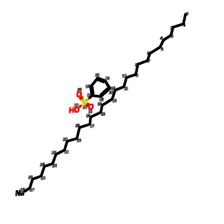 CCCCCCCCCCCCCCCCCCCCCCCCCCC[CH2][Na].O=S(=O)(O)c1ccccc1